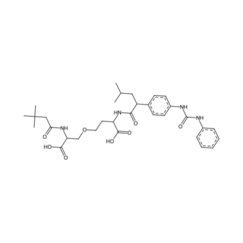 CC(C)CC(C(=O)NC(CCOCC(NC(=O)CC(C)(C)C)C(=O)O)C(=O)O)c1ccc(NC(=O)Nc2ccccc2)cc1